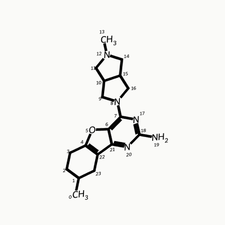 CC1CCc2oc3c(N4CC5CN(C)CC5C4)nc(N)nc3c2C1